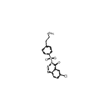 CCCCCCCCCCCCc1ccc(S(=O)(=O)n2nnc3ccc(Cl)cc3c2=O)cc1